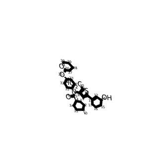 C[C@H]1CC[C@H](C(=O)N(c2cc(C3=CC(O)CCC3)sc2C(=O)O)[C@H]2CC[C@H](OC3CCCCO3)CC2)CC1